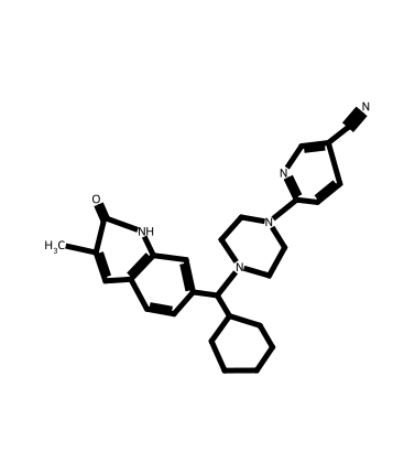 Cc1cc2ccc(C(C3CCCCC3)N3CCN(c4ccc(C#N)cn4)CC3)cc2[nH]c1=O